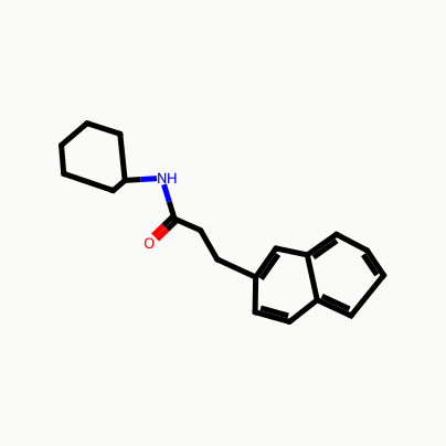 O=C(CCc1ccc2ccccc2c1)NC1CCCCC1